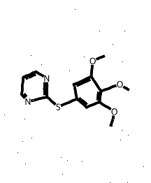 COc1cc(Sc2ncccn2)cc(OC)c1OC